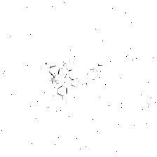 CC(=O)N1CCC(C(=O)N2C[C@H](c3ccc(Cl)c(Cl)c3)[C@@H](N(C)C(=O)N(C)c3cc(C(F)(F)F)cc(C(F)(F)F)c3)C2)CC1